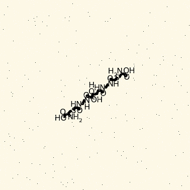 NC(CSCC(=O)NCCNC(=O)CC[C@@H](O)[C@H](O)C(=O)NCCNC(=O)CSCC(N)C(=O)O)C(=O)O